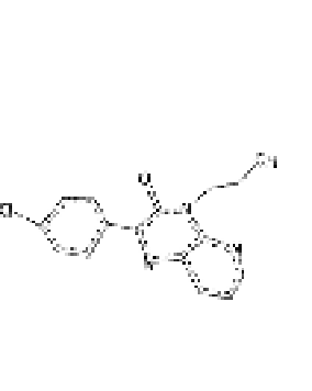 O=c1c(-c2ccc(Cl)cc2)nc2cccnc2n1CCO